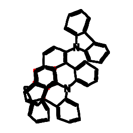 c1ccc(-c2ccccc2N(c2ccccc2-c2c(-n3c4ccccc4c4ccccc43)ccc3ccccc23)c2cccc3sc4ccccc4c23)cc1